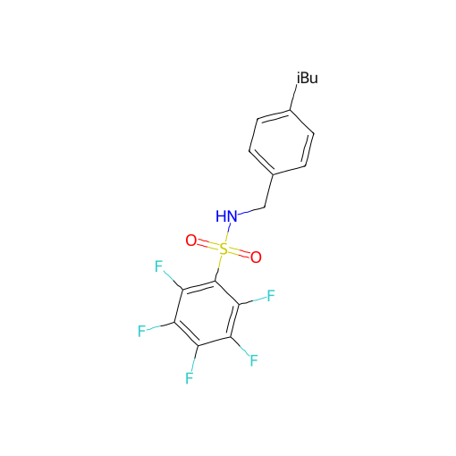 CCC(C)c1ccc(CNS(=O)(=O)c2c(F)c(F)c(F)c(F)c2F)cc1